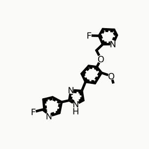 COc1cc(-c2c[nH]c(-c3ccc(F)nc3)n2)ccc1OCc1ncccc1F